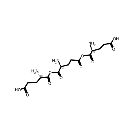 N[C@@H](CCC(=O)O)C(=O)OC(=O)CC[C@H](N)C(=O)OC(=O)[C@@H](N)CCC(=O)O